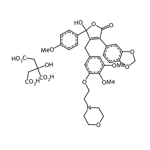 COc1ccc(C2(O)OC(=O)C(c3ccc4c(c3)OCO4)=C2Cc2cc(OC)c(OC)c(OCCN3CCOCC3)c2)cc1.O=C(O)CC(O)(CC(=O)O)C(=O)O